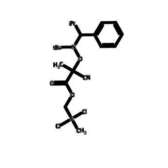 CC(C)C(c1ccccc1)N(OC(C)(C#N)C(=O)OC[Si](C)(Cl)Cl)C(C)(C)C